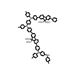 CCCCCCCCC1(CCCCCCCC)c2cc(-c3ccccc3)ccc2-c2ccc(-c3ccc(N(c4ccc(C)cc4)c4ccc(N(c5ccc(C)cc5)c5ccc(-c6ccc7c(c6)C(CCCCCCCC)(CCCCCCCC)c6cc(-c8ccc(N(c9ccc(C)cc9)c9ccc(Nc%10ccc(C)cc%10)cc9)cc8)ccc6-7)cc5)cc4)cc3)cc21